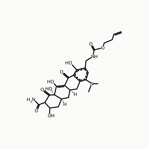 C=CCCOC(=O)NCc1cc(N(C)C)c2c(c1O)C(=O)C1=C(O)[C@]3(O)C(=O)C(C(N)=O)C(O)C[C@@H]3C[C@@H]1C2